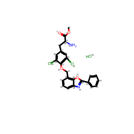 COC(=O)[C@@H](N)Cc1cc(Cl)c(OCc2cccc3nc(-c4ccccc4)oc23)c(Cl)c1.Cl